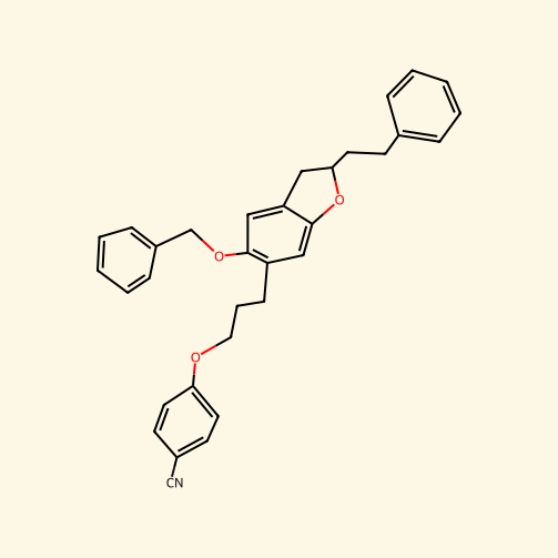 N#Cc1ccc(OCCCc2cc3c(cc2OCc2ccccc2)CC(CCc2ccccc2)O3)cc1